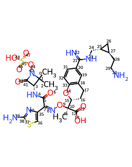 CC1(C)[C@H](NC(=O)/C(=N\O[C@](C)(C(=O)O)[C@H]2CCc3cc(C(=N)NC[C@@H]4C[C@H]4CCN)ccc3O2)c2csc(N)n2)C(=O)N1OS(=O)(=O)O